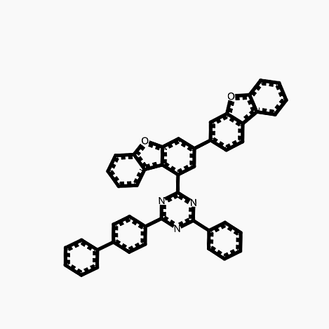 c1ccc(-c2ccc(-c3nc(-c4ccccc4)nc(-c4cc(-c5ccc6c(c5)oc5ccccc56)cc5oc6ccccc6c45)n3)cc2)cc1